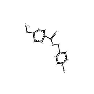 COc1ccc(C(=O)OCc2ccc(Br)cc2)cc1